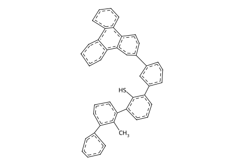 Cc1c(-c2ccccc2)cccc1-c1cccc(-c2cccc(-c3ccc4c5ccccc5c5ccccc5c4c3)c2)c1S